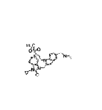 CS(=O)(=O)CCCn1c(Cn2c(=O)n(C3CC3)c3ccncc32)cc2cc(CN)ccc21